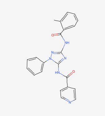 Cc1ccccc1C(=O)Nc1nc(NC(=O)c2ccncc2)n(-c2ccccc2)n1